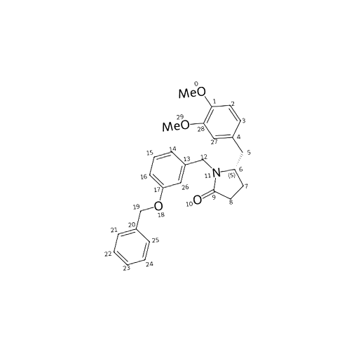 COc1ccc(C[C@@H]2CCC(=O)N2Cc2cccc(OCc3ccccc3)c2)cc1OC